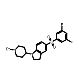 CCN1CCC(N2CCc3cc(S(=O)(=O)c4cc(F)cc(F)c4)ccc32)CC1